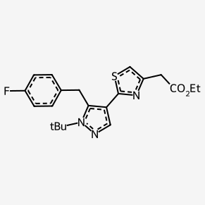 CCOC(=O)Cc1csc(-c2cnn(C(C)(C)C)c2Cc2ccc(F)cc2)n1